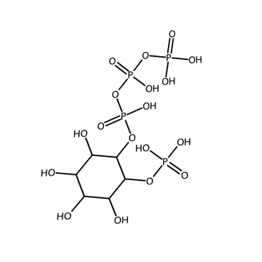 O=P(O)(O)OC1C(O)C(O)C(O)C(O)C1OP(=O)(O)OP(=O)(O)OP(=O)(O)O